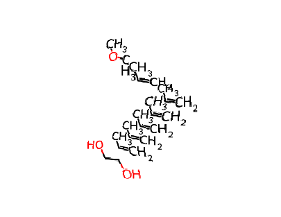 C=CC.C=CC.C=CC.C=CC.C=CC.C=CC.COC.OCCO